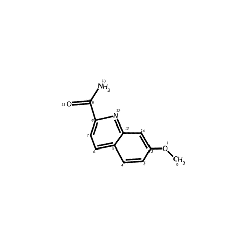 COc1[c]cc2ccc(C(N)=O)nc2c1